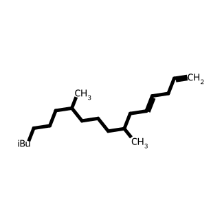 C=CCC=CCC(C)CCCC(C)CCCC(C)CC